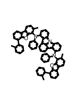 Cc1ccccc1-c1cccc2c1oc1c(N(c3ccccc3)c3cccc4c3c3cccc5c6c(N(c7ccccc7)c7c(C)ccc8c7oc7c(-c9ccccc9C)cccc78)cccc6n4c35)c(C)ccc12